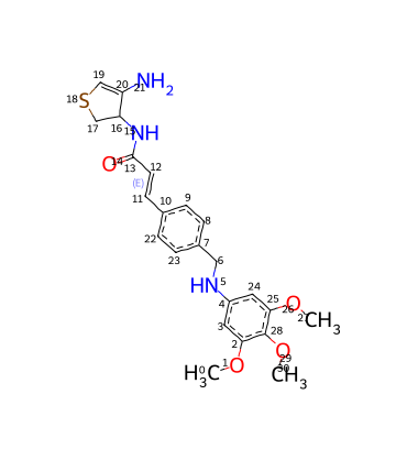 COc1cc(NCc2ccc(/C=C/C(=O)NC3CSC=C3N)cc2)cc(OC)c1OC